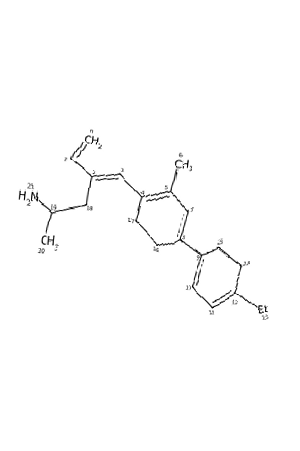 C=C/C(=C/C1=C(C)C=C(C2=CC=C(CC)CC2)CC1)CC(C)N